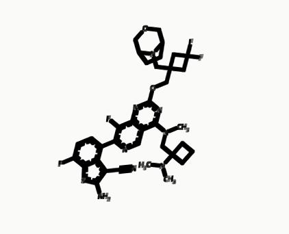 CN(CC1(N(C)C)CCC1)c1nc(OCC2(CN3C4CCC3COC4)CC(F)(F)C2)nc2c(F)c(-c3ccc(F)c4sc(N)c(C#N)c34)ncc12